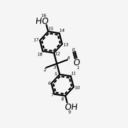 C=O.CC(C)(c1ccc(O)cc1)c1ccc(O)cc1